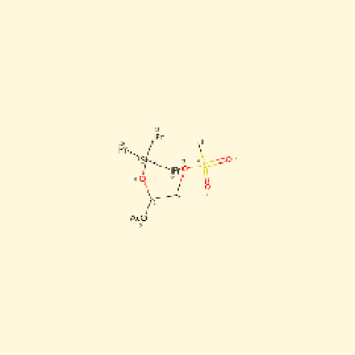 CC(=O)OC(COS(C)(=O)=O)O[Si](C(C)C)(C(C)C)C(C)C